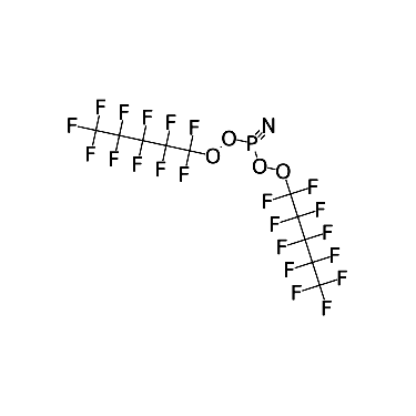 N#P(OOC(F)(F)C(F)(F)C(F)(F)C(F)(F)C(F)(F)F)OOC(F)(F)C(F)(F)C(F)(F)C(F)(F)C(F)(F)F